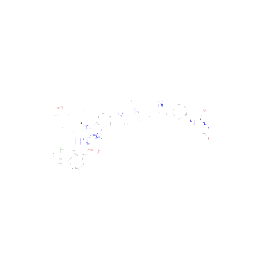 O=C1CCN(c2ccc(CN3CCC(N4CCN(c5ccc6c(c5)nc(NC(=O)c5cccc(C(F)(F)F)c5)n6C5CCC(CO)CC5)CC4)CC3)cc2)C(=O)N1